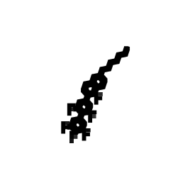 CCCCCCCc1ccc2c(F)c(-c3cc(F)c(-c4cc(F)c(F)c(F)c4)c(F)c3)ccc2c1